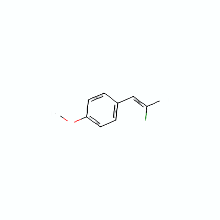 COc1ccc(/C=C(/C)F)cc1